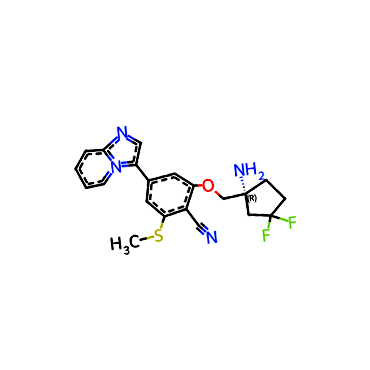 CSc1cc(-c2cnc3ccccn23)cc(OC[C@@]2(N)CCC(F)(F)C2)c1C#N